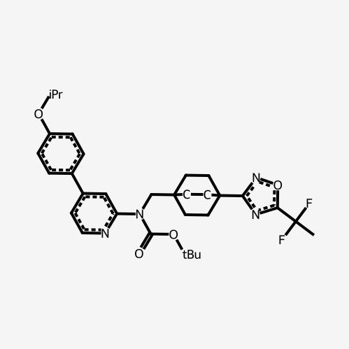 CC(C)Oc1ccc(-c2ccnc(N(CC34CCC(c5noc(C(C)(F)F)n5)(CC3)CC4)C(=O)OC(C)(C)C)c2)cc1